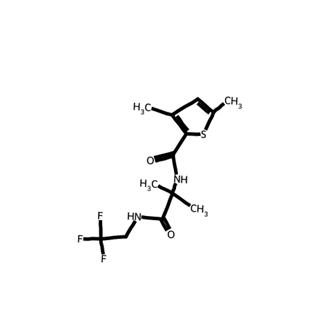 Cc1cc(C)c(C(=O)NC(C)(C)C(=O)NCC(F)(F)F)s1